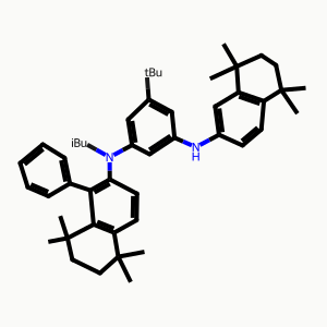 CCC(C)N(c1cc(Nc2ccc3c(c2)C(C)(C)CCC3(C)C)cc(C(C)(C)C)c1)c1ccc2c(c1-c1ccccc1)C(C)(C)CCC2(C)C